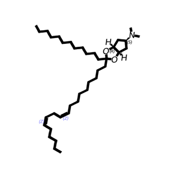 CCCCC/C=C\C/C=C\CCCCCCCCC1(CCCCCCCCCCCC)O[C@H]2C[C@H](N(C)C)C[C@H]2O1